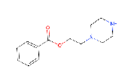 O=C(OCCN1CCNCC1)c1ccccc1